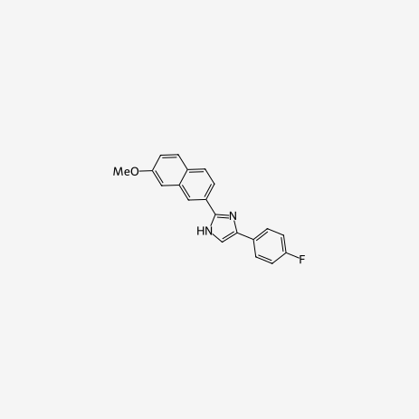 COc1ccc2ccc(-c3nc(-c4ccc(F)cc4)c[nH]3)cc2c1